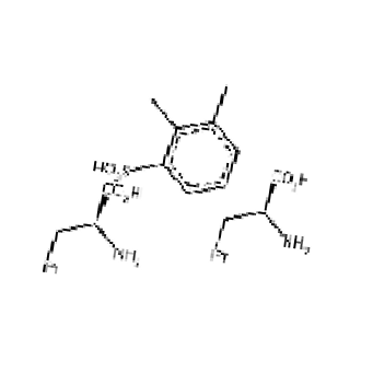 CC(C)C[C@H](N)C(=O)O.CC(C)C[C@H](N)C(=O)O.Cc1cccc(S(=O)(=O)O)c1C